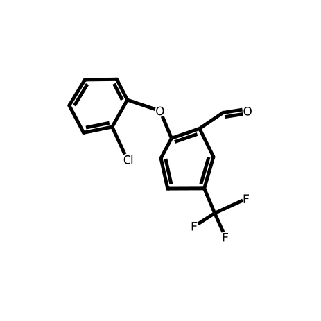 O=Cc1cc(C(F)(F)F)ccc1Oc1ccccc1Cl